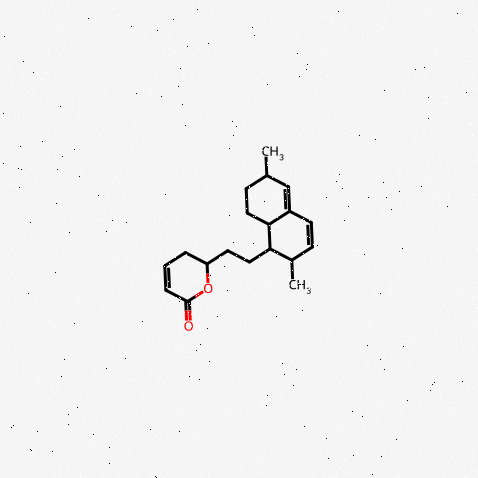 CC1C=C2C=CC(C)C(CCC3CC=CC(=O)O3)C2CC1